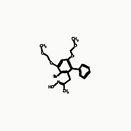 COCOc1cc(OCOC)c(-c2ccccc2)c(CC(C)=NO)c1Br